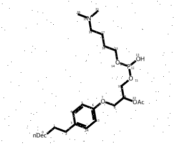 CCCCCCCCCCCCc1ccc(OCC(COP(O)OCCCCN(C)C)OC(C)=O)cc1